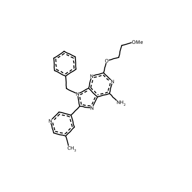 COCCOc1nc(N)c2nc(-c3cncc(C)c3)n(Cc3ccccc3)c2n1